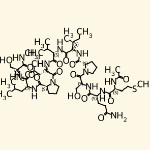 CC[C@H](C)[C@H](NC(=O)[C@@H]1CCCN1C(=O)[C@H](CO)NC(=O)[C@H](CCC(N)=O)NC(=O)[C@H](CCSC)NC(C)=O)C(=O)N[C@H](C(=O)N[C@@H](CC(C)C)C(=O)N1CCC[C@H]1C(=O)N[C@@H](CC(C)C)C(=O)N[C@@H](CO)C(=O)NC)C(C)C